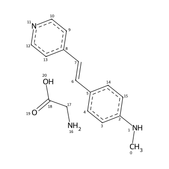 CNc1ccc(C=Cc2ccncc2)cc1.NCC(=O)O